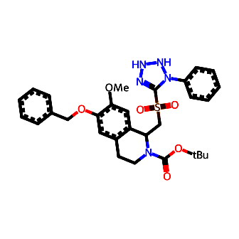 COc1cc2c(cc1OCc1ccccc1)CCN(C(=O)OC(C)(C)C)C2CS(=O)(=O)C1=NNNN1c1ccccc1